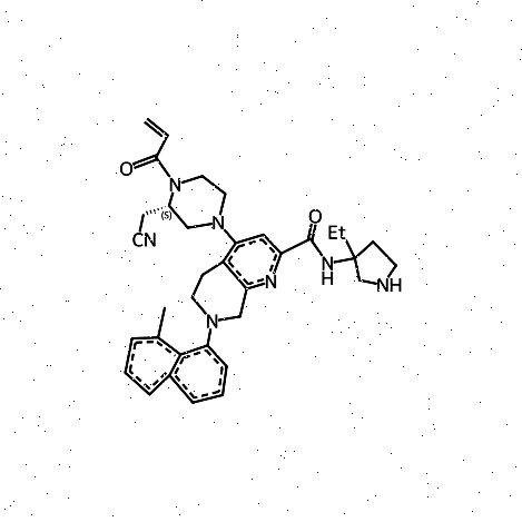 C=CC(=O)N1CCN(c2cc(C(=O)NC3(CC)CCNC3)nc3c2CCN(c2cccc4cccc(C)c24)C3)C[C@@H]1CC#N